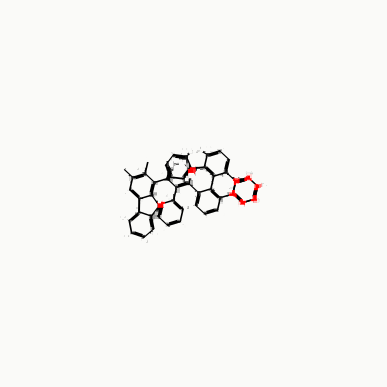 Cc1cc2c(c(-c3nnnc(-c4cccc(-c5ccccc5)c4-c4c(-c5ccccc5)ccc5oc6ccccc6c45)c3-c3ccccc3)c1C)Cc1ccccc1-2